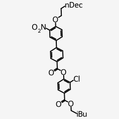 CCCCCCCCCCCCOc1ccc(-c2ccc(C(=O)Oc3ccc(C(=O)OCC(C)CC)cc3Cl)cc2)cc1[N+](=O)[O-]